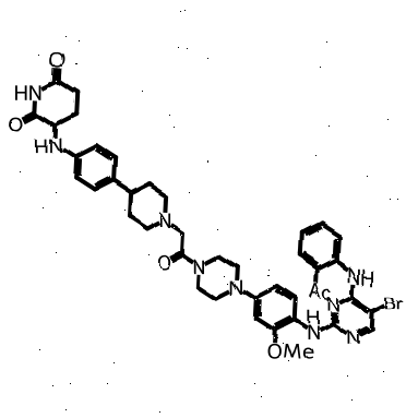 COc1cc(N2CCN(C(=O)CN3CCC(c4ccc(NC5CCC(=O)NC5=O)cc4)CC3)CC2)ccc1Nc1ncc(Br)c(Nc2ccccc2C(C)=O)n1